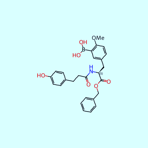 COc1ccc(C[C@H](NC(=O)CCc2ccc(O)cc2)C(=O)OCc2ccccc2)cc1B(O)O